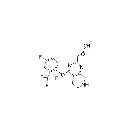 COCc1nc2c(c(Oc3ccc(F)cc3C(F)(F)F)n1)CCNC2